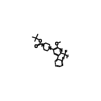 COc1nc(C(F)(F)F)c(-c2ccccc2)cc1N1CCN(C(=O)OC(C)(C)C)CC1